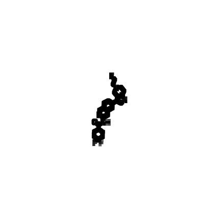 O=C(Nc1cc2cc(-c3cnn4c3CN(CCF)CC4)ccc2cn1)C1CCC(F)(F)CC1